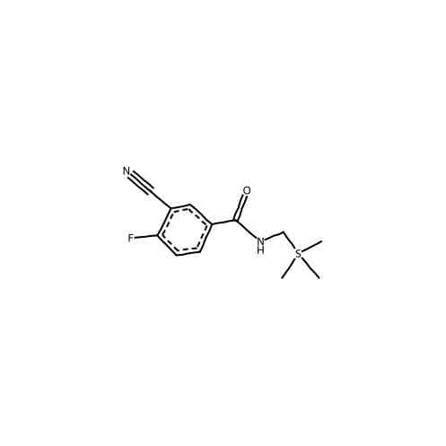 CS(C)(C)CNC(=O)c1ccc(F)c(C#N)c1